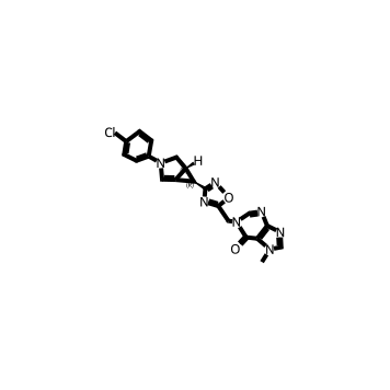 Cn1cnc2ncn(Cc3nc([C@H]4C5=CN(c6ccc(Cl)cc6)C[C@@H]54)no3)c(=O)c21